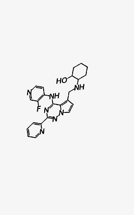 OC1CCCCC1NCc1ccn2nc(-c3ccccn3)nc(Nc3ccncc3F)c12